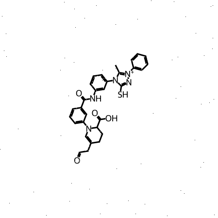 Cc1n(-c2cccc(NC(=O)c3cccc(N4C=C(CC=O)CCC4C(=O)O)c3)c2)c(S)n[n+]1-c1ccccc1